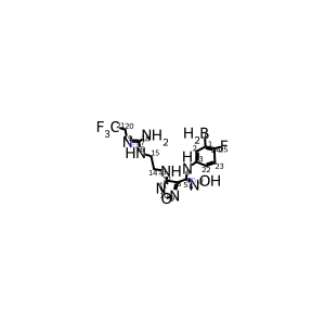 Bc1cc(N/C(=N\O)c2nonc2NCCN/C(N)=N/CC(F)(F)F)ccc1F